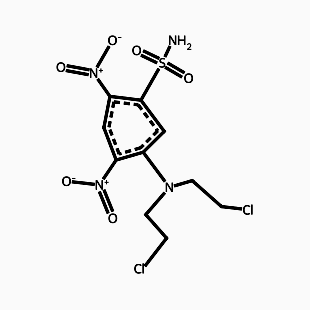 NS(=O)(=O)c1cc(N(CCCl)CCCl)c([N+](=O)[O-])cc1[N+](=O)[O-]